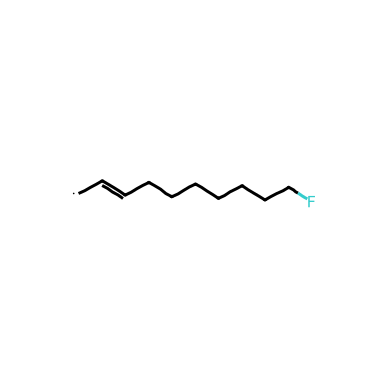 [CH2]/C=C/CCCCCCCF